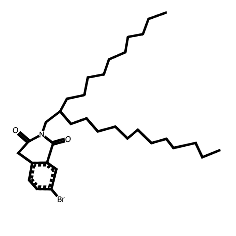 CCCCCCCCCCCCC(CCCCCCCCCC)CN1C(=O)Cc2ccc(Br)cc2C1=O